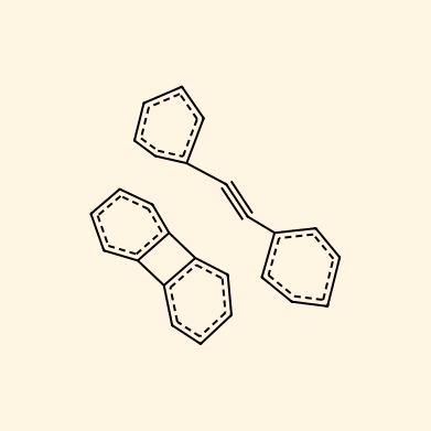 C(#Cc1ccccc1)c1ccccc1.c1ccc2c(c1)-c1ccccc1-2